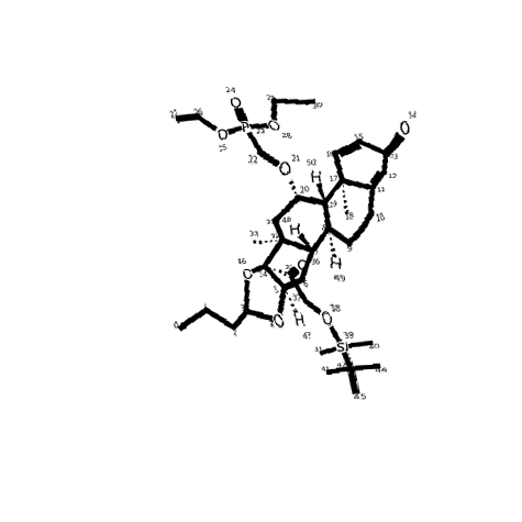 CCCC1O[C@@H]2C[C@H]3[C@@H]4CCC5=CC(=O)C=C[C@]5(C)[C@H]4[C@@H](OCP(=O)(OCC)OCC)C[C@]3(C)[C@]2(C(=O)CO[Si](C)(C)C(C)(C)C)O1